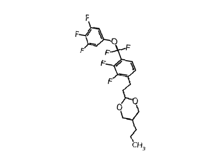 CCCC1COC(CCc2ccc(C(F)(F)Oc3cc(F)c(F)c(F)c3)c(F)c2F)OC1